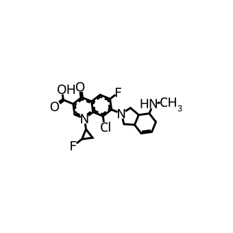 CNC1CC=CC2CN(c3c(F)cc4c(=O)c(C(=O)O)cn(C5CC5F)c4c3Cl)CC21